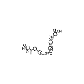 C[C@H]1CC2(CCN(c3ccc(C(=O)N4CC(CN5CCN(c6cccc(NC7CCC(=O)NC7=O)c6)CC5)C4)nn3)CC2)CN1c1ccc(C#N)c(Cl)c1